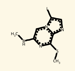 CBc1cn2c(I)cnc2c(SC)n1